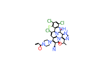 C=CC(=O)N1CCN(c2c(C#N)c(=O)n(-c3c(C(C)C)ncnc3C(C)C)c3nc(-c4c(N)c(Cl)cc(Cl)c4F)c(Cl)cc23)CC1